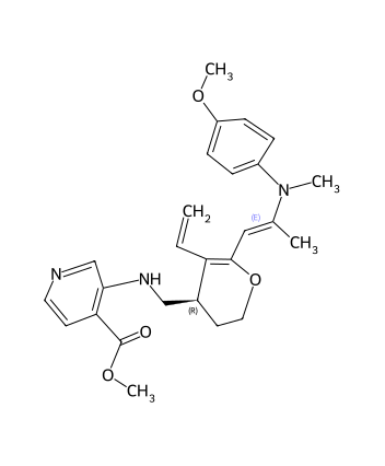 C=CC1=C(/C=C(\C)N(C)c2ccc(OC)cc2)OCC[C@H]1CNc1cnccc1C(=O)OC